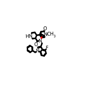 Cn1ccc(C2CCNCC2C(=O)N(Cc2cn(Cc3ccccc3)c3cccc(F)c23)C2CC2)cc1=O